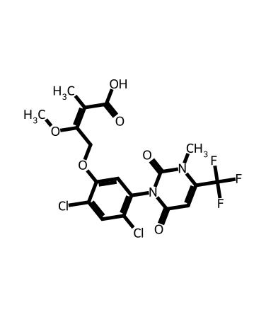 COC(COc1cc(-n2c(=O)cc(C(F)(F)F)n(C)c2=O)c(Cl)cc1Cl)=C(C)C(=O)O